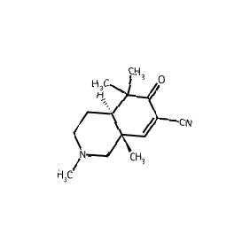 CN1CC[C@H]2C(C)(C)C(=O)C(C#N)=C[C@]2(C)C1